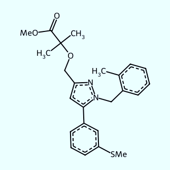 COC(=O)C(C)(C)OCc1cc(-c2cccc(SC)c2)n(Cc2ccccc2C)n1